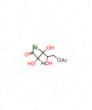 CC(=O)OCC(O)C(O)(C(C)=O)C(O)(C(C)=O)C(=O)Cl